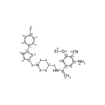 C=C(NCC1CCN(Cc2cnc(-c3ccc(F)cc3)s2)CC1)c1cc(N)c(C#N)c(OCC)n1